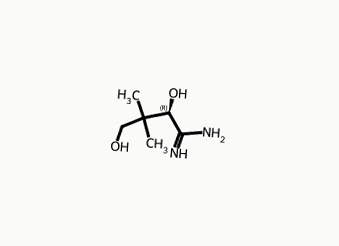 CC(C)(CO)[C@@H](O)C(=N)N